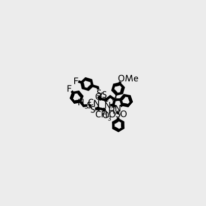 COc1ccc([C@]23C[C@]4(SSCc5ccc(F)cc5)C(=O)N(C)[C@@](C)(SSCc5ccc(F)cc5)C(=O)N4[C@H]2N(S(=O)(=O)c2ccccc2)c2ccccc23)cc1